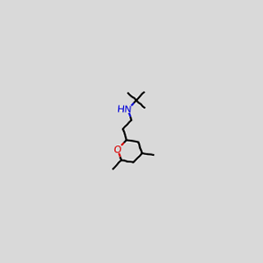 CC1CC(C)OC(CCNC(C)(C)C)C1